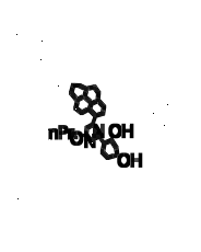 CCCOc1cc(-c2ccc3ccc4cccc5ccc2c3c45)nc(-c2ccc(O)cc2O)n1